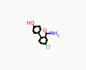 NC(=O)c1cc(Cl)ccc1-c1ccc(O)cc1